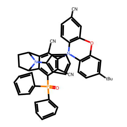 CC(C)(C)c1ccc2c(c1)Oc1cc(C#N)ccc1N2c1c(C#N)c2c(c(P(=O)(c3ccccc3)c3ccccc3)c1C#N)C1CCC2N1c1ccccc1